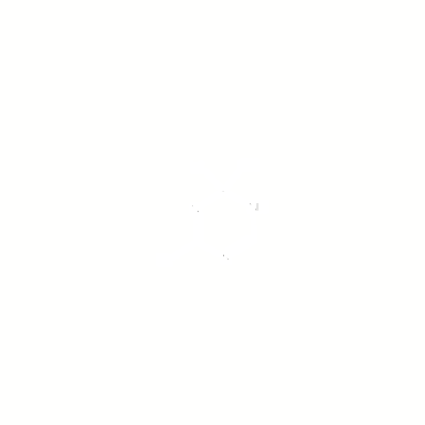 CCC1=NC(O)(CC)NC=N1